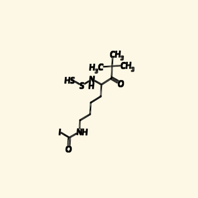 CC(C)(C)C(=O)C(CCCCNC(=O)I)NSS